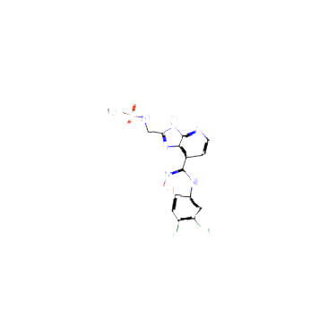 CS(=O)(=O)NCc1nc2c(C(=NO)Nc3ccc(F)c(Cl)c3)ccnc2[nH]1